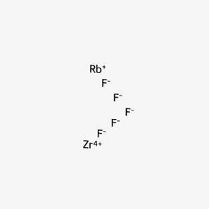 [F-].[F-].[F-].[F-].[F-].[Rb+].[Zr+4]